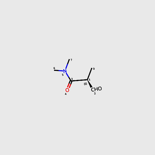 C[C@@H](C=O)C(=O)N(C)C